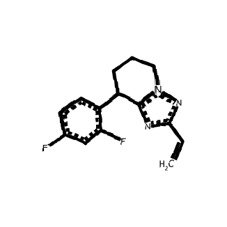 C=Cc1nc2n(n1)CCCC2c1ccc(F)cc1F